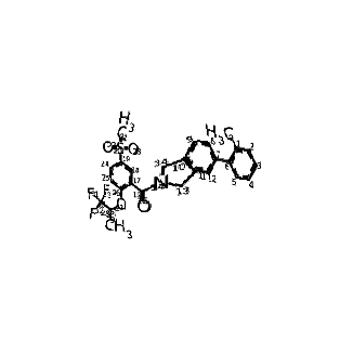 Cc1ccccc1-c1ccc2c(c1)CN(C(=O)c1cc(S(C)(=O)=O)ccc1O[C@@H](C)C(F)(F)F)C2